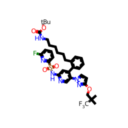 CC(C)(C)OC(=O)NCCCCCCc1ccccc1-c1cc(NS(=O)(=O)c2cccc(F)n2)ncc1-n1ccc(OCC(C)(C)C(F)(F)F)n1